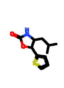 CC(C)CC1NC(=O)OC1c1cccs1